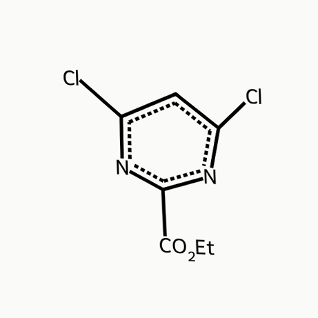 CCOC(=O)c1nc(Cl)cc(Cl)n1